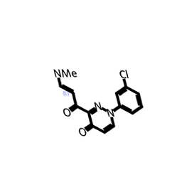 CN/C=C/C(=O)c1nn(-c2cccc(Cl)c2)ccc1=O